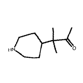 CC(=O)C(C)(C)C1CCNCC1